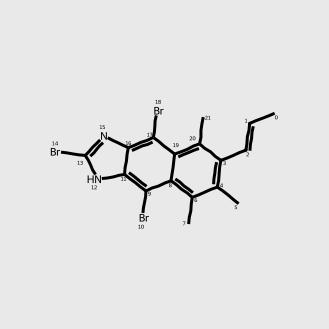 C/C=C/c1c(C)c(C)c2c(Br)c3[nH]c(Br)nc3c(Br)c2c1C